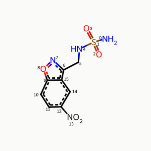 NS(=O)(=O)NCc1noc2ccc([N+](=O)[O-])cc12